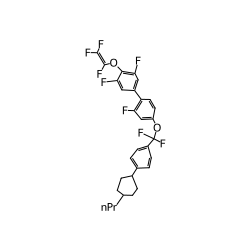 CCCC1CCC(c2ccc(C(F)(F)Oc3ccc(-c4cc(F)c(OC(F)=C(F)F)c(F)c4)c(F)c3)cc2)CC1